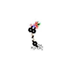 CC(C)(C)c1ccc(CSCCSc2ccc3c4c(cccc24)C(=O)N(OS(=O)(=O)C(F)(F)F)C3=O)cc1